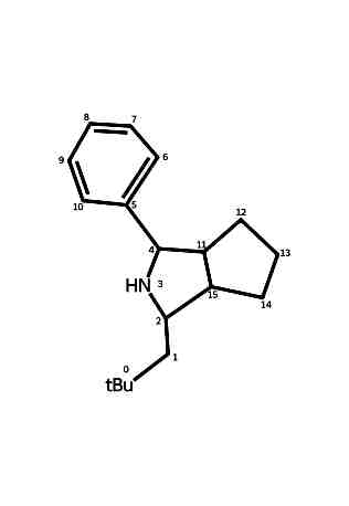 CC(C)(C)CC1NC(c2ccccc2)C2CCCC12